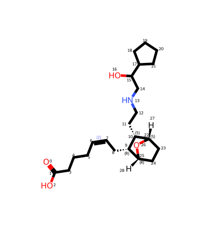 O=C(O)CCC/C=C\C[C@@H]1[C@H](CCNCC(O)C2CCCC2)[C@@H]2CC[C@H]1O2